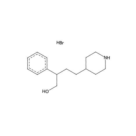 Br.OCC(CCC1CCNCC1)c1ccccc1